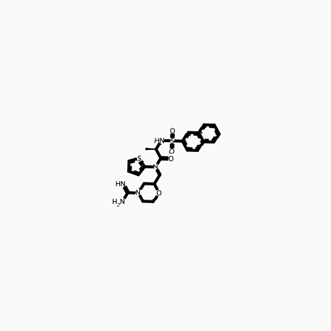 C[C@@H](NS(=O)(=O)c1ccc2ccccc2c1)C(=O)N(CC1CN(C(=N)N)CCO1)c1cccs1